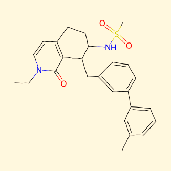 CCn1ccc2c(c1=O)C(Cc1cccc(-c3cccc(C)c3)c1)C(NS(C)(=O)=O)CC2